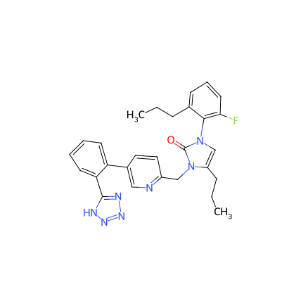 CCCc1cccc(F)c1-n1cc(CCC)n(Cc2ccc(-c3ccccc3-c3nnn[nH]3)cn2)c1=O